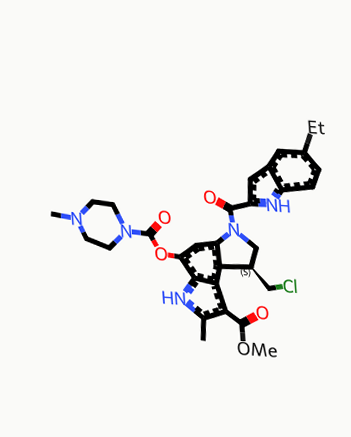 CCc1ccc2[nH]c(C(=O)N3C[C@@H](CCl)c4c3cc(OC(=O)N3CCN(C)CC3)c3[nH]c(C)c(C(=O)OC)c43)cc2c1